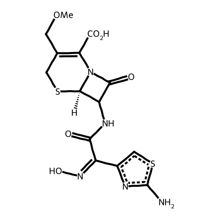 COCC1=C(C(=O)O)N2C(=O)C(NC(=O)/C(=N\O)c3csc(N)n3)[C@H]2SC1